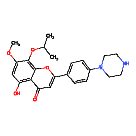 COc1cc(O)c2c(=O)cc(-c3ccc(N4CCNCC4)cc3)oc2c1OC(C)C